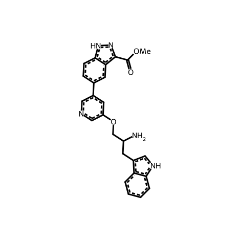 COC(=O)c1n[nH]c2ccc(-c3cncc(OCC(N)Cc4c[nH]c5ccccc45)c3)cc12